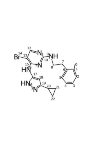 Cc1ccccc1CCNc1ncc(Br)c(Nc2cc(C3CC3)n[nH]2)n1